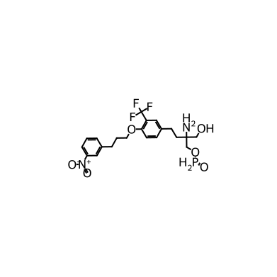 NC(CO)(CCc1ccc(OCCCc2cccc([N+](=O)[O-])c2)c(C(F)(F)F)c1)CO[PH2]=O